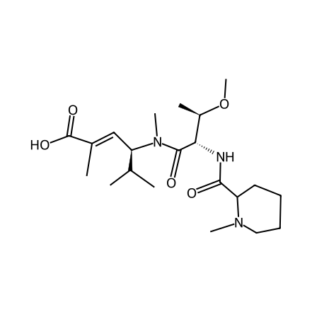 CO[C@H](C)[C@H](NC(=O)C1CCCCN1C)C(=O)N(C)[C@H](/C=C(\C)C(=O)O)C(C)C